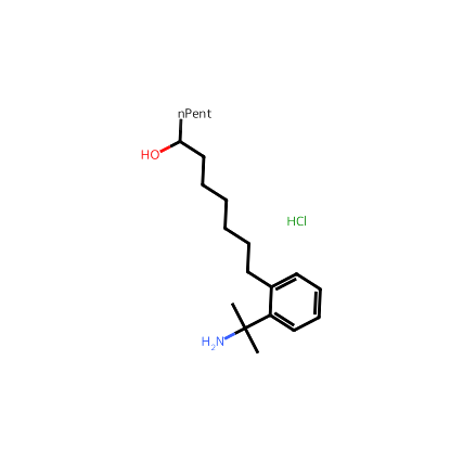 CCCCCC(O)CCCCCCc1ccccc1C(C)(C)N.Cl